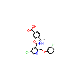 C[C@H](NC(=O)c1cc(Cl)cnc1COc1cccc(Cl)c1)c1ccc(C(=O)O)cc1